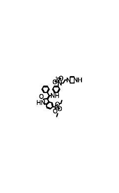 CCOP(=O)(OCC)c1ccc2c(c1)C(=C(Nc1ccc(N(CCN3CCNCC3)S(C)(=O)=O)cc1)c1ccccc1)C(=O)N2